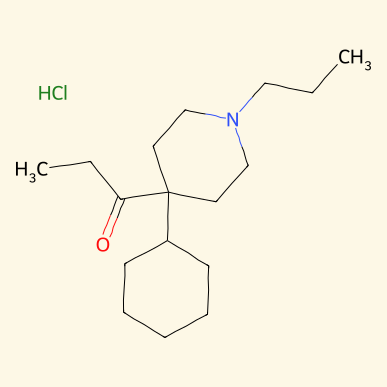 CCCN1CCC(C(=O)CC)(C2CCCCC2)CC1.Cl